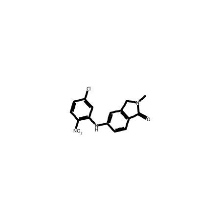 CN1Cc2cc(Nc3cc(Cl)ccc3[N+](=O)[O-])ccc2C1=O